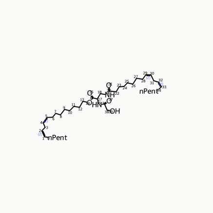 CCCCC/C=C\C/C=C\CCCCCCCCOC(=O)C(CNC(=O)CCCCCCC/C=C\C/C=C\CCCCC)NC(=O)CO